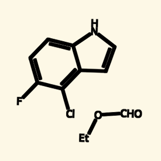 CCOC=O.Fc1ccc2[nH]ccc2c1Cl